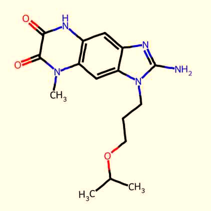 CC(C)OCCCn1c(N)nc2cc3[nH]c(=O)c(=O)n(C)c3cc21